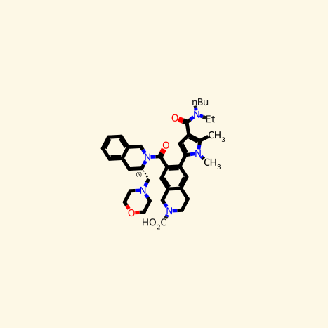 CCCCN(CC)C(=O)c1cc(-c2cc3c(cc2C(=O)N2Cc4ccccc4C[C@H]2CN2CCOCC2)CN(C(=O)O)CC3)n(C)c1C